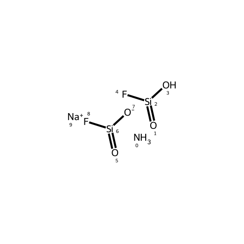 N.O=[Si](O)F.O=[Si]([O-])F.[Na+]